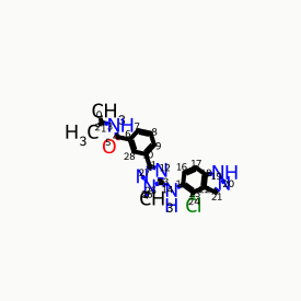 CC(C)NC(=O)c1cccc(-c2nc(Nc3ccc4[nH]ncc4c3Cl)n(C)n2)c1